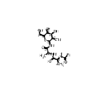 CCC(=O)NC(C)C(=O)NC(C)C(=O)NC1OC(CO)C(O)C(O)C1O